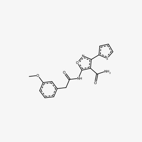 COc1cccc(CC(=O)Nc2onc(-c3cccs3)c2C(N)=O)c1